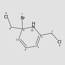 ClCC1=CC=CC(Br)(CCl)N1